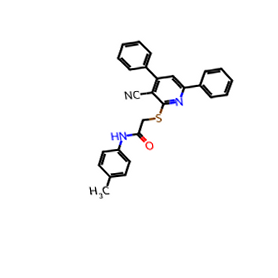 Cc1ccc(NC(=O)CSc2nc(-c3ccccc3)cc(-c3ccccc3)c2C#N)cc1